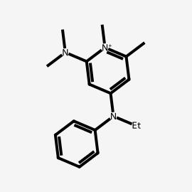 CCN(c1ccccc1)c1cc(C)[n+](C)c(N(C)C)c1